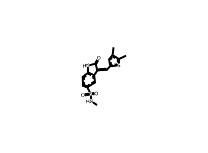 CNS(=O)(=O)c1ccc2c(c1)C(=Cc1cc(C)c(C)s1)C(=O)N2